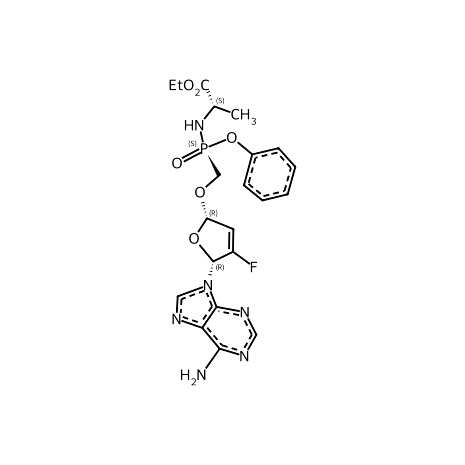 CCOC(=O)[C@H](C)N[P@](=O)(CO[C@@H]1C=C(F)[C@H](n2cnc3c(N)ncnc32)O1)Oc1ccccc1